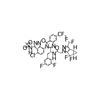 Cn1nc(NS(C)(=O)=O)c2c(Cl)ccc(-n3c([C@H](Cc4cc(F)cc(F)c4)NC(=O)Cn4nc(C(F)F)c5c4C(F)(F)[C@@H]4C[C@H]54)nc4cc(C(F)(F)F)ccc4c3=O)c21